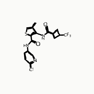 Cc1csc(C(=O)Nc2ccc(Cl)nc2)c1NC(=O)C1CC(C(F)(F)F)C1